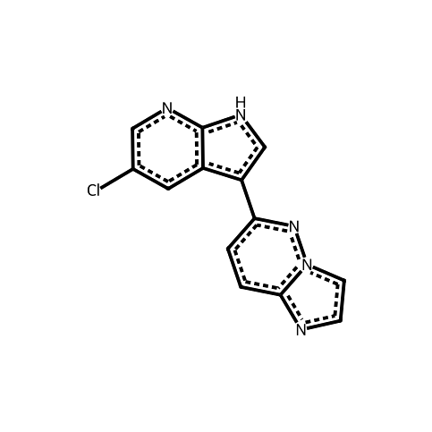 Clc1cnc2[nH]cc(-c3ccc4nccn4n3)c2c1